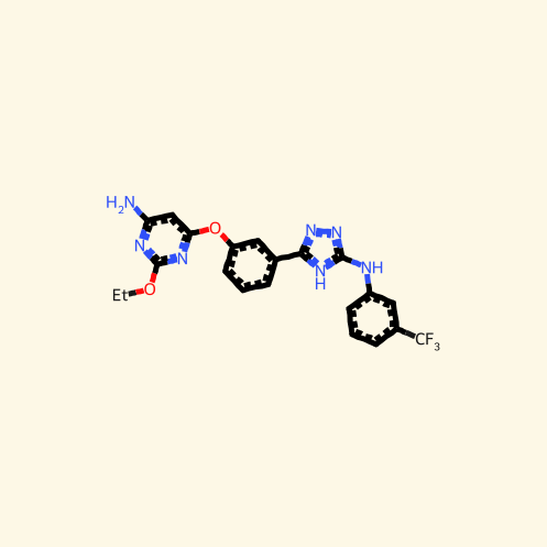 CCOc1nc(N)cc(Oc2cccc(-c3nnc(Nc4cccc(C(F)(F)F)c4)[nH]3)c2)n1